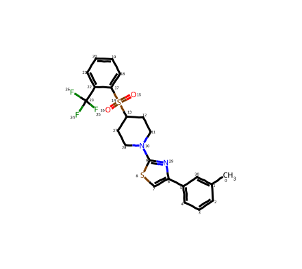 Cc1cccc(-c2csc(N3CCC(S(=O)(=O)c4ccccc4C(F)(F)F)CC3)n2)c1